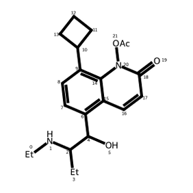 CCNC(CC)C(O)c1ccc(C2CCC2)c2c1ccc(=O)n2OC(C)=O